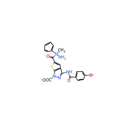 C[N+](N)(C(=O)c1cc2c(NC(=O)c3ccc(Br)cc3)nn(C(=O)[O-])c2s1)c1ccccc1